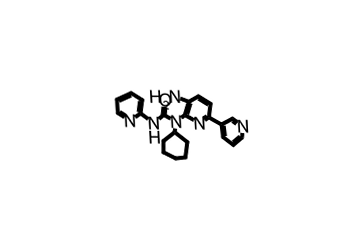 Nc1ccc(-c2cccnc2)nc1N(C(=O)Nc1ccccn1)C1CCCCC1